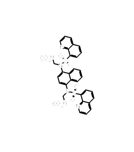 O=C(O)CN(c1ccc(N(CC(=O)O)S(=O)(=O)c2cccc3cccnc23)c2ccccc12)S(=O)(=O)c1cccc2cccnc12